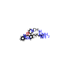 CN1CCC(OC(c2cccc(CCCCNC(=N)N)c2)c2nc3ccccc3[nH]2)CC1